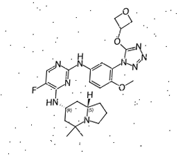 COc1ccc(Nc2ncc(F)c(N[C@@H]3C[C@@H]4CCCN4C(C)(C)C3)n2)cc1-n1nnnc1OC1COC1